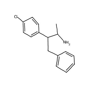 CC(N)C(Cc1ccccc1)c1ccc(Cl)cc1